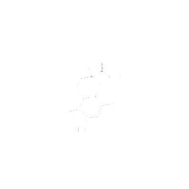 CC1=C(C)C2OC(C)(C(=O)O)CCC2C(C)=C1O